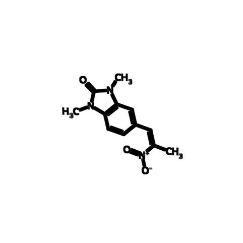 CC(=Cc1ccc2c(c1)n(C)c(=O)n2C)[N+](=O)[O-]